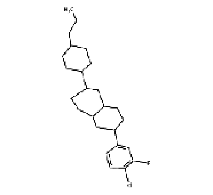 CCCC1CCC(C2CCC3CC(c4ccc(Cl)c(F)c4)CCC3C2)CC1